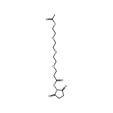 CC(=O)SCCOCCOCCOCCC(=O)ON1C(=O)CCC1=O